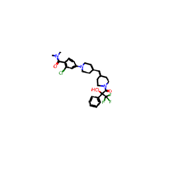 CN(C)C(=O)c1ccc(N2CCC(CC3CCN(C(=O)C(O)(c4ccccc4)C(F)(F)F)CC3)CC2)cc1Cl